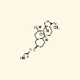 C[C@@H]1CC2CC(=NOC3CNC3)CC[C@]2(C)[C@H]2CC[C@]3(C)C(=O)CC[C@H]3[C@H]12